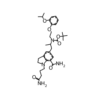 CC(C)Oc1ccccc1OCCN(C(=O)OC(C)(C)C)C(C)Cc1cc2c(c(C(N)=O)c1)N(CCCC(N)=O)CC2